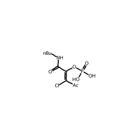 CCCCNC(=O)C(OP(=O)(O)O)=C(Cl)C(C)=O